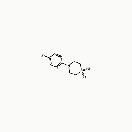 N=S1(=O)CCN(c2ncc(Br)cn2)CC1